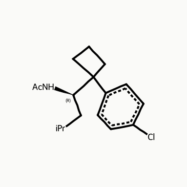 CC(=O)N[C@H](CC(C)C)C1(c2ccc(Cl)cc2)CCC1